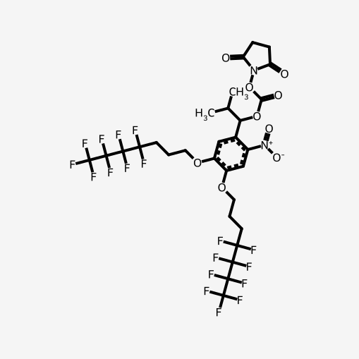 CC(C)C(OC(=O)ON1C(=O)CCC1=O)c1cc(OCCCC(F)(F)C(F)(F)C(F)(F)C(F)(F)F)c(OCCCC(F)(F)C(F)(F)C(F)(F)C(F)(F)F)cc1[N+](=O)[O-]